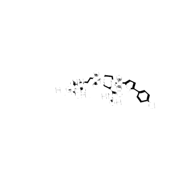 CN(C)S(=O)(=O)NCCS(=O)(=O)N1CCN(S(=O)(=O)c2ccc(-c3ccc(Cl)cc3)s2)[C@@H](C(=O)NO)C1